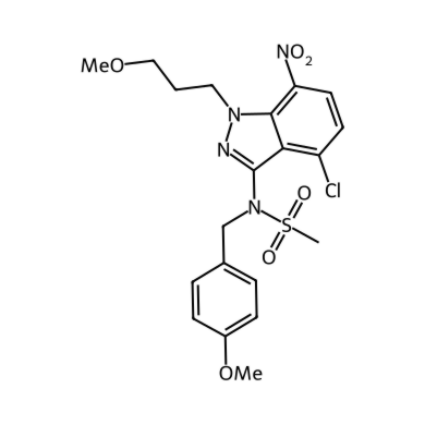 COCCCn1nc(N(Cc2ccc(OC)cc2)S(C)(=O)=O)c2c(Cl)ccc([N+](=O)[O-])c21